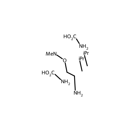 CC(C)C.CC(C)C.CNOCCN.NC(=O)O.NC(=O)O